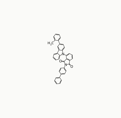 Cc1ccccc1-c1ccc2c(c1)c1ccccc1n2-c1cccc2c1C(=O)N(c1ccc(-c3ccccc3)cc1)C2=O